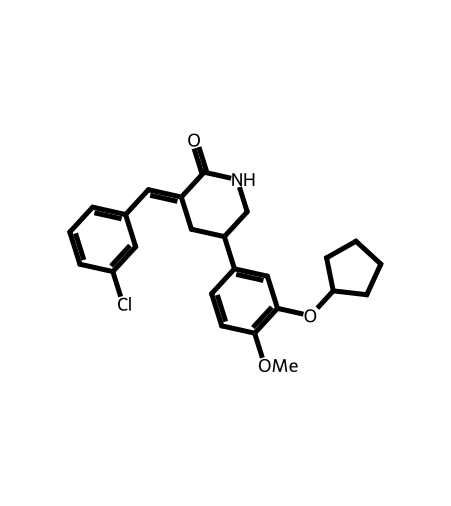 COc1ccc(C2CNC(=O)C(=Cc3cccc(Cl)c3)C2)cc1OC1CCCC1